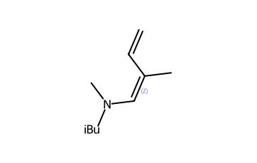 C=C/C(C)=C\N(C)C(C)CC